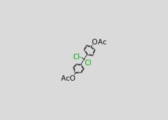 CC(=O)Oc1ccc(C(Cl)(Cl)c2ccc(OC(C)=O)cc2)cc1